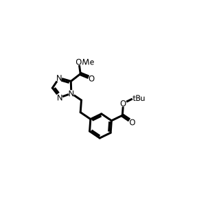 COC(=O)c1ncnn1CCc1cccc(C(=O)OC(C)(C)C)c1